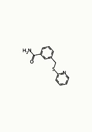 NC(=O)c1cccc(CSc2ccccn2)c1